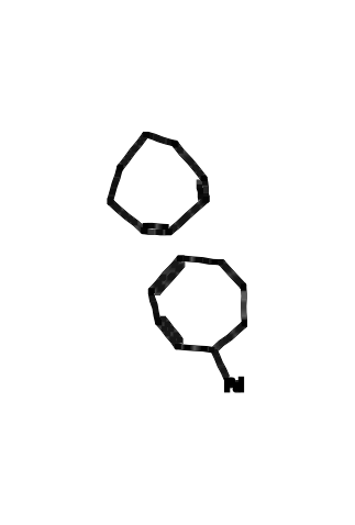 C1=C\CCCC\C=C/1.[Pd][CH]1/C=C\C=C/CCC1